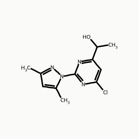 Cc1cc(C)n(-c2nc(Cl)cc(C(C)O)n2)n1